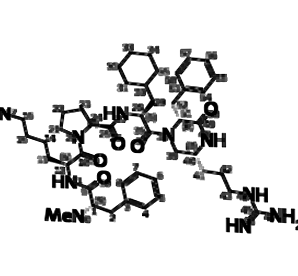 CN[C@@H](Cc1ccccc1)C(=O)N[C@@H](CCCCN)C(=O)N1CCC[C@H]1C(=O)N[C@@H](CC1CCCCC1)C(=O)N1C[C@@H](CCCNC(=N)N)NC(=O)[C@H]1Cc1ccccc1